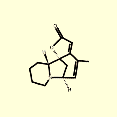 CC1=C[C@@H]2C[C@@]3(OC(=O)C=C13)[C@H]1CCCCN21